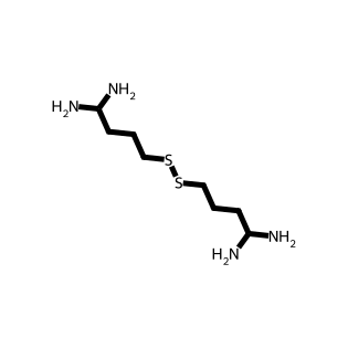 NC(N)CCCSSCCCC(N)N